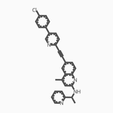 Cc1cc(NC(C)c2ccccn2)nc2ccc(C#Cc3ccc(-c4ccc(Cl)cc4)cn3)cc12